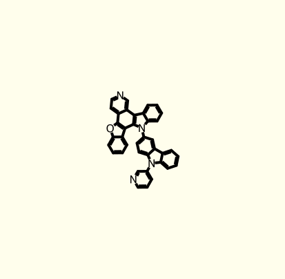 c1cncc(-n2c3ccccc3c3cc(-n4c5ccccc5c5c6cnccc6c6oc7ccccc7c6c54)ccc32)c1